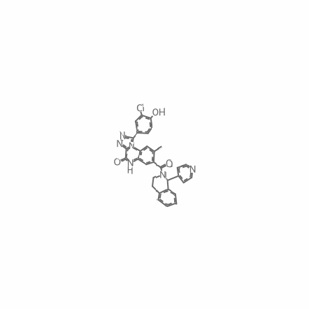 Cc1cc2c(cc1C(=O)N1CCc3ccccc3C1c1ccncc1)[nH]c(=O)c1nnc(-c3ccc(O)c(Cl)c3)n12